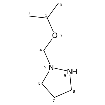 CC(C)OCN1CCCN1